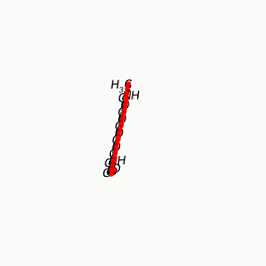 CCCCCNC(=O)CCOCCOCCOCCOCCOCCOCCOCCOCCNC(=O)CCN1C(=O)CCC1=O